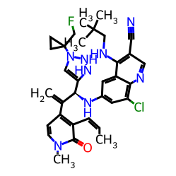 C=C(c1ccn(C)c(=O)c1/C=C\C)[C@H](Nc1cc(Cl)c2ncc(C#N)c(NCC(C)(C)C)c2c1)C1=CN(C2(CF)CC2)NN1